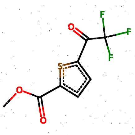 COC(=O)c1ccc(C(=O)C(F)(F)F)s1